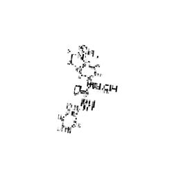 CN1CCc2cc(NC(=O)Nc3cccnc3)ccc21.Cl.Cl